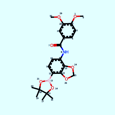 COc1ccc(C(=O)Nc2ccc(B3OC(C)(C)C(C)(C)O3)c3c2OCO3)cc1OC